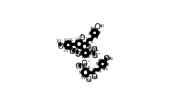 COc1ccc(C=CC(=O)C2C(=O)CC(c3ccc(OC)cc3)C([N+](=O)[O-])C2c2cccc([N+](=O)[O-])c2)cc1.COc1ccc(C=CC(=O)C2CC([N+](=O)[O-])CCC2=O)cc1